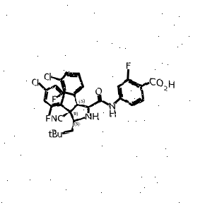 CC(C)(C)C[C@@H]1NC(C(=O)Nc2ccc(C(=O)O)c(F)c2)[C@H](c2cccc(Cl)c2F)[C@@]1(C#N)c1ccc(Cl)cc1F